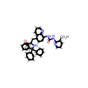 COC(=O)C(Cc1ccc(NC(=O)Nc2ncccc2C(=O)O)c2ncccc12)NC(c1ccccc1)(c1ccccc1)c1ccccc1